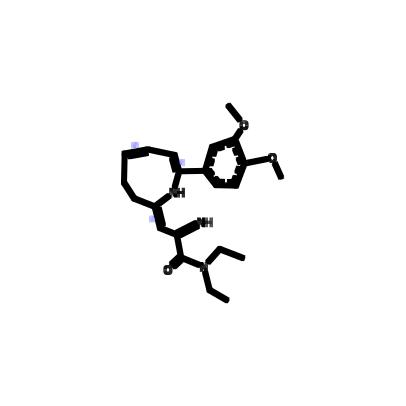 CCN(CC)C(=O)C(=N)/C=C1/CC/C=C\C=C(\c2ccc(OC)c(OC)c2)N1